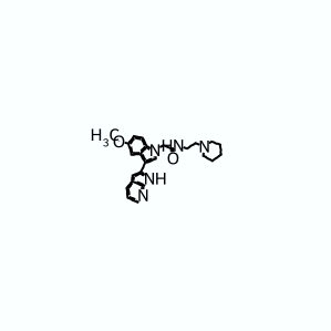 COc1ccc2c(c1)c(-c1cc3cccnc3[nH]1)cn2CC(=O)NCCN1CCCCC1